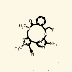 CN1Cc2nn(C)c(C#N)c2-c2cnc(N)c(n2)OC(CF)c2ccccc2C1=O